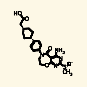 C[S+]([O-])c1nc(N)c2c(n1)OCCN(c1ccc([C@H]3CC[C@H](CC(=O)O)CC3)cc1)C2=O